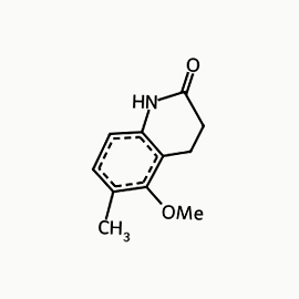 COc1c(C)ccc2c1CCC(=O)N2